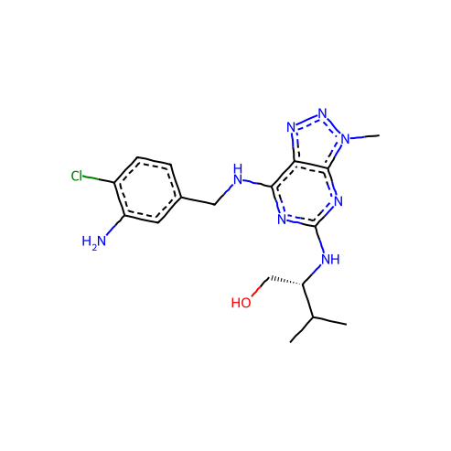 CC(C)[C@H](CO)Nc1nc(NCc2ccc(Cl)c(N)c2)c2nnn(C)c2n1